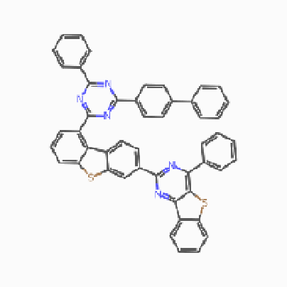 c1ccc(-c2ccc(-c3nc(-c4ccccc4)nc(-c4cccc5sc6cc(-c7nc(-c8ccccc8)c8sc9ccccc9c8n7)ccc6c45)n3)cc2)cc1